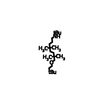 CC(C)(C)CCOCC(C)(C)CCC(C)(C)CCCNC(C)(C)C